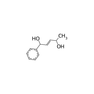 CC(O)C=CC(O)c1ccccc1